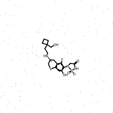 O=C1CN(c2c(O)cc3c(c2F)C[C@H](NCCC2(CO)CCC2)CS3)S(=O)(=O)N1